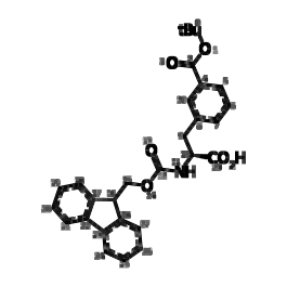 CC(C)(C)OC(=O)c1cccc(C[C@H](NC(=O)OCC2c3ccccc3-c3ccccc32)C(=O)O)c1